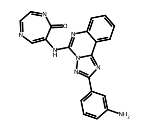 Nc1cccc(-c2nc3c4ccccc4nc(Nc4cnccnc4=O)n3n2)c1